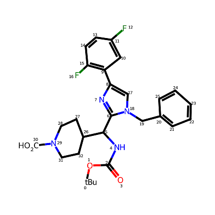 CC(C)(C)OC(=O)NC(c1nc(-c2cc(F)ccc2F)cn1Cc1ccccc1)C1CCN(C(=O)O)CC1